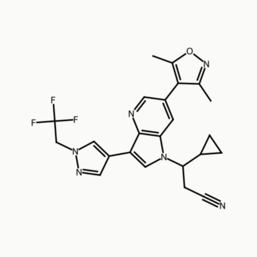 Cc1noc(C)c1-c1cnc2c(-c3cnn(CC(F)(F)F)c3)cn(C(CC#N)C3CC3)c2c1